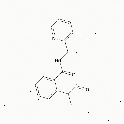 CC([C]=O)c1ccccc1C(=O)NCc1ccccn1